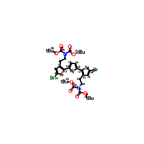 CC(C)(C)OC(=O)N(CCc1cc(Br)sc1-c1ccc(-c2sc(Br)cc2CCN(C(=O)OC(C)(C)C)C(=O)OC(C)(C)C)s1)C(=O)OC(C)(C)C